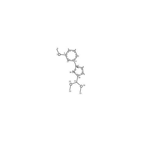 COc1cccc(-n2ccc(C(OC)OC)n2)c1